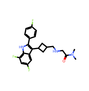 CN(C)C(=O)CNCC1CC(c2c(-c3ccc(F)cc3)[nH]c3c(F)cc(F)cc23)C1